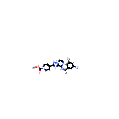 C[C@H](Nc1nccn2nc(C3=CCN(C(=O)OC(C)(C)C)CC3)nc12)c1cc(N)cc(C(F)(F)F)c1